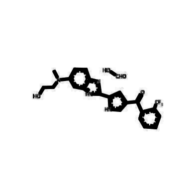 CN(CCO)c1ccc2nc(-c3cc(C(=O)c4ccccc4C(F)(F)F)c[nH]3)[nH]c2c1.O=CO